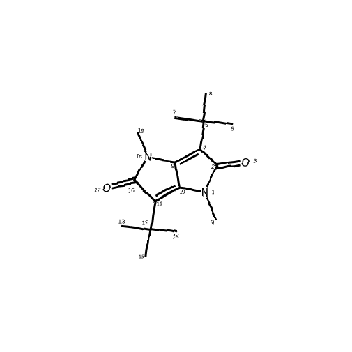 CN1C(=O)C(C(C)(C)C)=C2C1=C(C(C)(C)C)C(=O)N2C